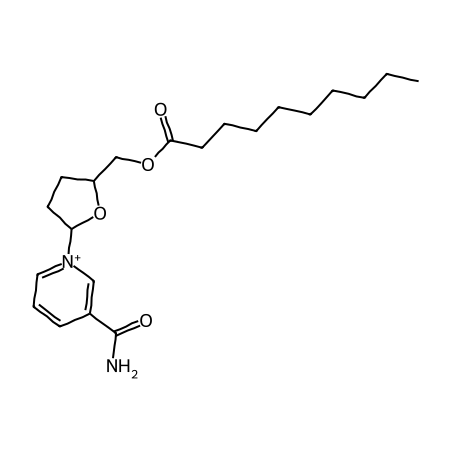 CCCCCCCCCC(=O)OCC1CCC([n+]2cccc(C(N)=O)c2)O1